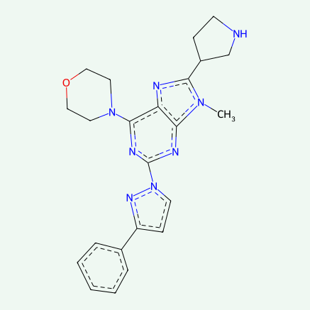 Cn1c(C2CCNC2)nc2c(N3CCOCC3)nc(-n3ccc(-c4ccccc4)n3)nc21